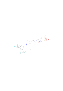 CC(C)CC1(C(=O)NCc2cc(C(F)(F)F)cc(C(F)(F)F)c2)CCN(CC(=O)N2CCS(=O)(=O)CC2)CC1